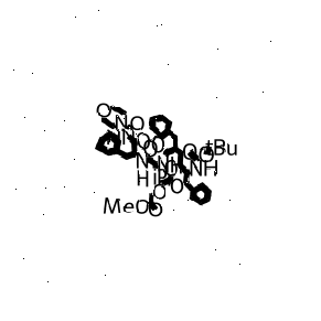 COC(=O)COCC(=O)OC(CC(Cc1ccccc1)C(=O)NC(C(=O)NC(Cc1ccccc1)C(=O)NC(=O)N1CCOCC1)C(C)C)C(Cc1ccccc1)NC(=O)OC(C)(C)C